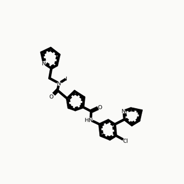 O=C(Nc1ccc(Cl)c(-c2ccccn2)c1)c1ccc(C(=O)N(I)Cc2ccccn2)cc1